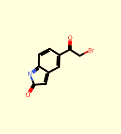 O=C1C=c2cc(C(=O)CBr)ccc2=N1